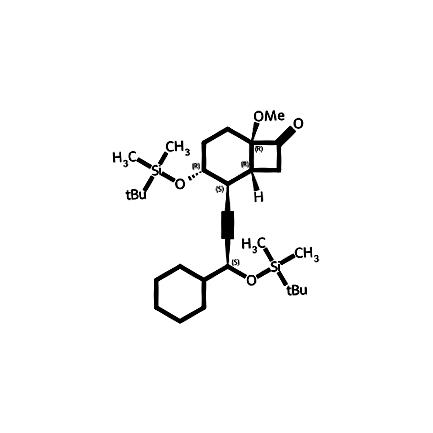 CO[C@]12CC[C@@H](O[Si](C)(C)C(C)(C)C)[C@H](C#C[C@@H](O[Si](C)(C)C(C)(C)C)C3CCCCC3)[C@H]1CC2=O